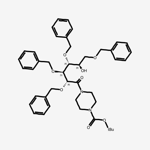 CC(C)(C)OC(=O)N1CCN(C(=O)[C@H](OCc2ccccc2)[C@@H](OCc2ccccc2)[C@H](OCc2ccccc2)[C@H](O)COCc2ccccc2)CC1